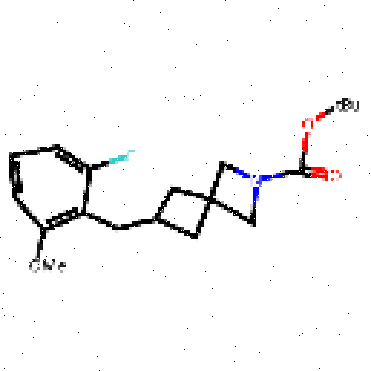 COc1cccc(F)c1CC1CC2(C1)CN(C(=O)OC(C)(C)C)C2